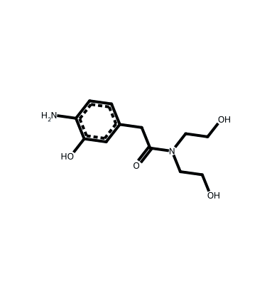 Nc1ccc(CC(=O)N(CCO)CCO)cc1O